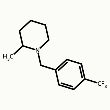 CC1CCCCN1Cc1ccc(C(F)(F)F)cc1